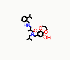 CC(C)CN(Cc1cc(O)c2c(c1)OCCCO2)C(=O)C(C)CNCc1ccccc1C(C)C